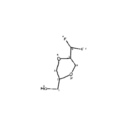 OCC1COC(C(F)F)CO1